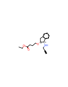 C#CCN[C@H]1c2ccccc2C[C@H]1OCCCC(=O)OCC